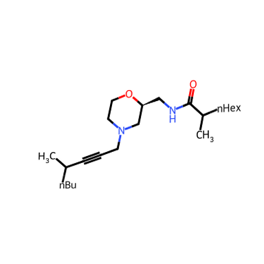 CCCCCCC(C)C(=O)NC[C@H]1CN(CC#CC(C)CCCC)CCO1